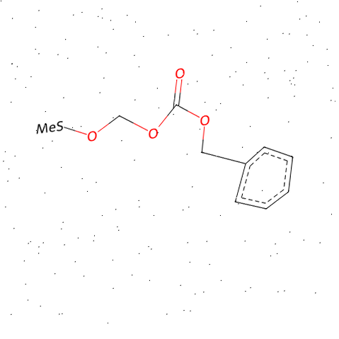 CSOCOC(=O)OCc1ccccc1